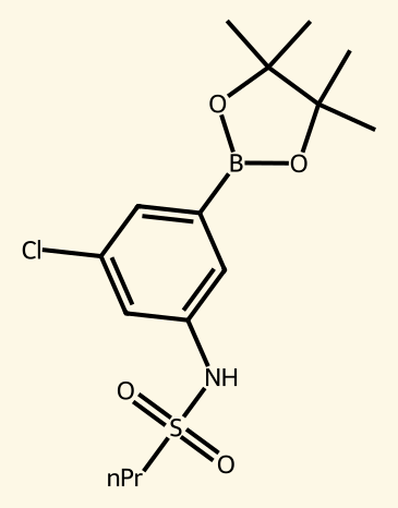 CCCS(=O)(=O)Nc1cc(Cl)cc(B2OC(C)(C)C(C)(C)O2)c1